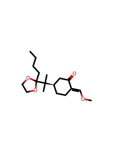 CCCCC1(C(C)(C)[C@@H]2CC/C(=C\OC)C(=O)C2)OCCO1